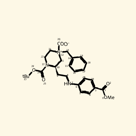 COC(=O)c1ccc(NCC[C@@H]2C[N+](Cc3ccccc3)(C(=O)[O-])CCN2C(=O)OC(C)(C)C)cc1